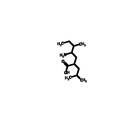 CCC(C)C(N)CC(CC(C)C)C(=O)O